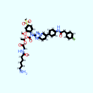 COc1cc(S(C)(=O)=O)ccc1N(C(=O)OC(C)OC(=O)CNC(=O)CCCCCN)c1nc2ccc(-c3ccc(NC(=O)Cc4ccc(F)cc4)cc3)cn2n1